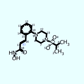 CC(C)S(=O)(=O)N1CCN(c2ccccc2/C=C/C(=O)NO)CC1